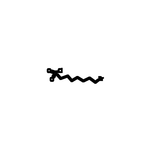 O=S(=O)(Cl)CCCCCCCBr